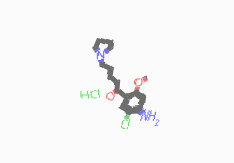 COc1cc(N)c(Cl)cc1C(=O)CCCCN1CCCC1.Cl